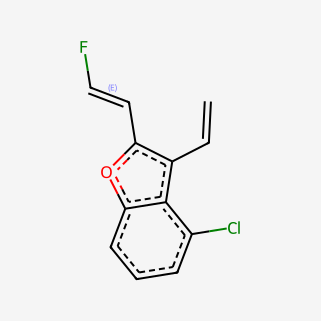 C=Cc1c(/C=C/F)oc2cccc(Cl)c12